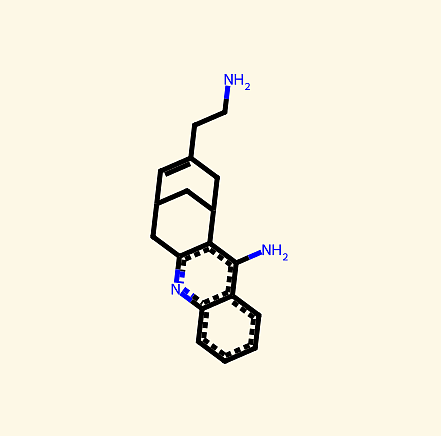 NCCC1=CC2Cc3nc4ccccc4c(N)c3C(C1)C2